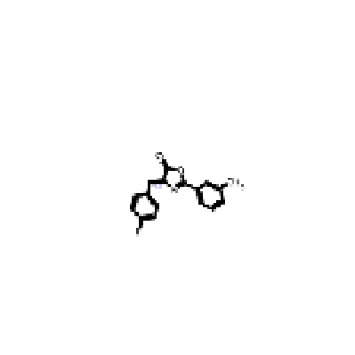 Cc1cccc(C2=N/C(=C\c3ccc(F)cc3)C(=O)O2)c1